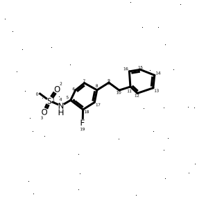 CS(=O)(=O)Nc1ccc([CH]Cc2ccccc2)cc1F